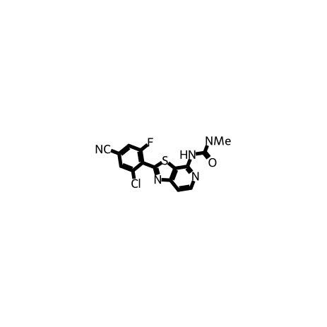 CNC(=O)Nc1nccc2nc(-c3c(F)cc(C#N)cc3Cl)sc12